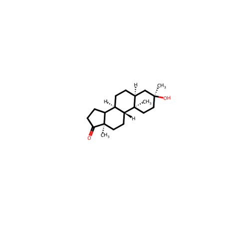 C[C@]1(O)CC[C@]2(C)[C@@H](CC[C@@H]3C4CCC(=O)[C@]4(C)CC[C@H]32)C1